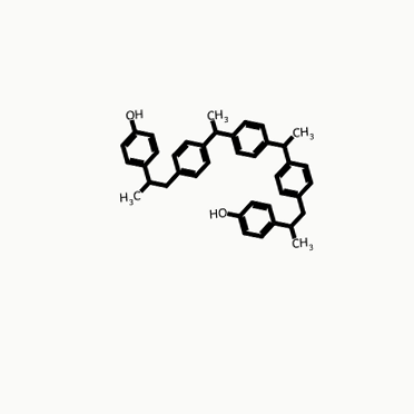 CC(Cc1ccc(C(C)c2ccc(C(C)c3ccc(CC(C)c4ccc(O)cc4)cc3)cc2)cc1)c1ccc(O)cc1